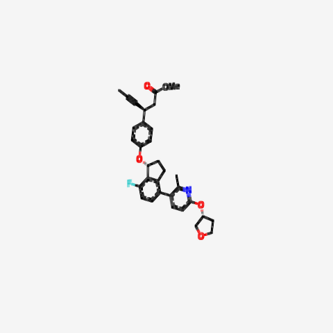 CC#C[C@@H](CC(=O)OC)c1ccc(O[C@@H]2CCc3c(-c4ccc(O[C@@H]5CCOC5)nc4C)ccc(F)c32)cc1